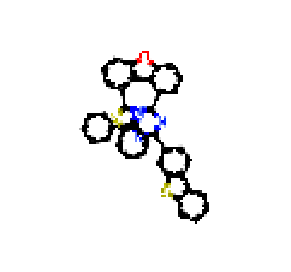 c1ccc(-c2nc(-c3ccc4c(c3)sc3ccccc34)nc(-c3cccc4oc5cccc(-c6nc7ccccc7s6)c5c34)n2)cc1